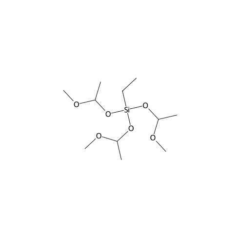 CC[Si](OC(C)OC)(OC(C)OC)OC(C)OC